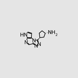 N[C@H]1CC[C@H](c2nnc3cnc4[nH]ccc4n23)C1